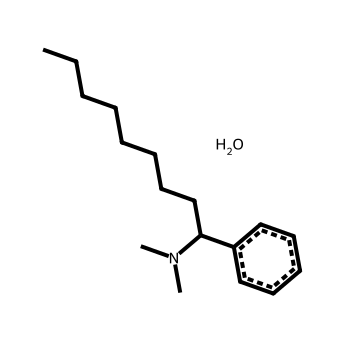 CCCCCCCCC(c1ccccc1)N(C)C.O